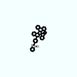 CCn1c(-c2ccc(-c3cc4c(c5ccccc35)-c3c(c5ccccc5c5ccccc35)C43c4ccccc4-c4ccccc43)cc2)nc2ccccc21